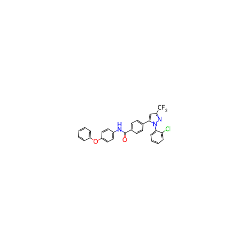 O=C(Nc1ccc(Oc2ccccc2)cc1)c1ccc(-c2cc(C(F)(F)F)nn2-c2ccccc2Cl)cc1